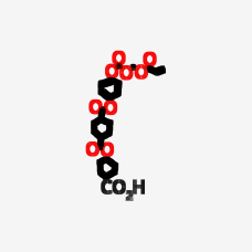 C=CC(=O)OCOC(=O)Oc1ccc(OC(=O)C2CCC(C(=O)OC3CCC(C(=O)O)CC3)CC2)cc1